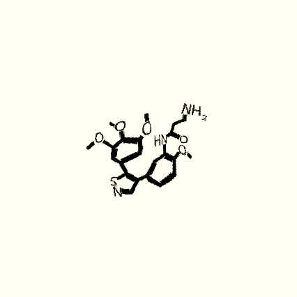 COc1ccc(-c2cnsc2-c2cc(OC)c(OC)c(OC)c2)cc1NC(=O)CCN